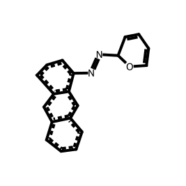 C1=COC(N=Nc2cccc3cc4ccccc4cc23)C=C1